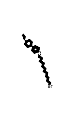 CCC[C@H]1CC[C@H](c2ccc(OCCCCCCCCCCCCBr)cc2)CC1